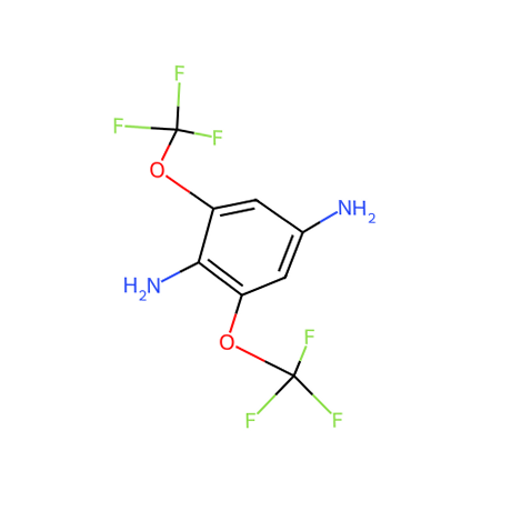 Nc1cc(OC(F)(F)F)c(N)c(OC(F)(F)F)c1